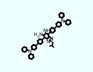 CC(C)Cn1nc2c(-c3ccc(-c4ccc(N(c5ccccc5)c5ccccc5)cc4)cc3)c(N)c(N)c(-c3ccc(-c4ccc(N(c5ccccc5)c5ccccc5)cc4)cc3)c2n1